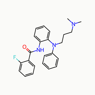 CN(C)CCCN(c1ccccc1)c1ccccc1NC(=O)c1ccccc1F